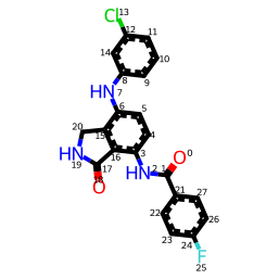 O=C(Nc1ccc(Nc2cccc(Cl)c2)c2c1C(=O)NC2)c1ccc(F)cc1